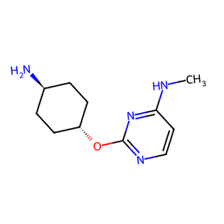 CNc1ccnc(O[C@H]2CC[C@H](N)CC2)n1